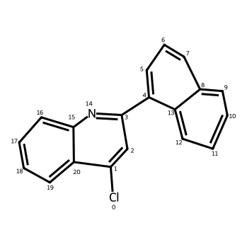 Clc1cc(-c2cccc3ccccc23)nc2ccccc12